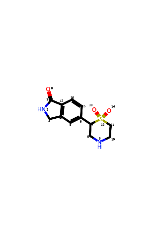 O=C1NCc2cc(C3CNCCS3(=O)=O)ccc21